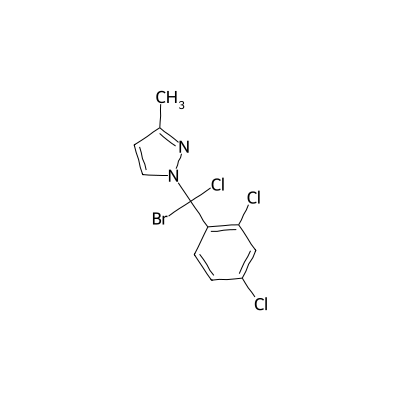 Cc1ccn(C(Cl)(Br)c2ccc(Cl)cc2Cl)n1